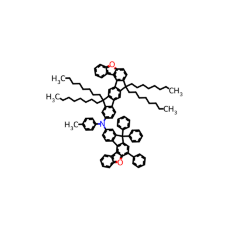 CCCCCCCCC1(CCCCCCCC)c2cc(N(c3ccc(C)cc3)c3ccc4c(c3)C(c3ccccc3)(c3ccccc3)c3cc(-c5ccccc5)c5oc6ccccc6c5c3-4)ccc2-c2cc3c(cc21)-c1c(ccc2oc4ccccc4c12)C3(CCCCCCCC)CCCCCCCC